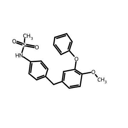 COc1ccc(Cc2ccc(NS(C)(=O)=O)cc2)cc1Oc1ccccc1